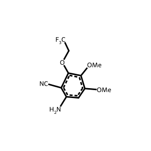 COc1cc(N)c(C#N)c(OCC(F)(F)F)c1OC